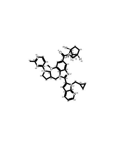 COc1cc(C(=O)N2C[C@H]3CC[C@@H]2[C@@H]3N)cc2nc(-c3cc4cccnc4n3CC3CC3)n(CC3CCN(c4ccnc(C)n4)C3)c12